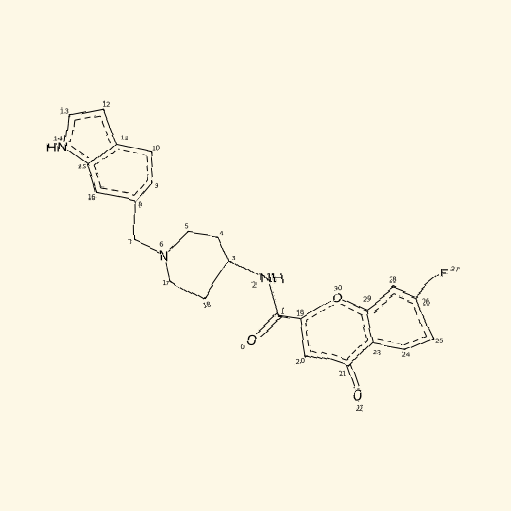 O=C(NC1CCN(Cc2ccc3cc[nH]c3c2)CC1)c1cc(=O)c2ccc(F)cc2o1